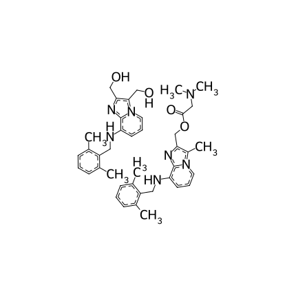 Cc1cccc(C)c1CNc1cccn2c(C)c(COC(=O)CN(C)C)nc12.Cc1cccc(C)c1CNc1cccn2c(CO)c(CO)nc12